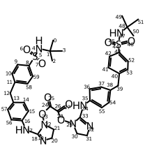 CC(C)(C)NS(=O)(=O)c1ccc(Cc2ccc(NC3=NCCN3OC(=O)C(=O)ON3CCN=C3Nc3ccc(Cc4ccc(S(=O)(=O)NC(C)(C)C)cc4)cc3)cc2)cc1